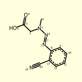 CN(CC(=O)O)/N=N/c1ccccc1C#N